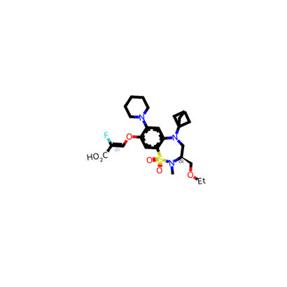 CCOC[C@@H]1CN(C23CC(C2)C3)c2cc(N3CCCCC3)c(O/C=C(\F)C(=O)O)cc2S(=O)(=O)N1C